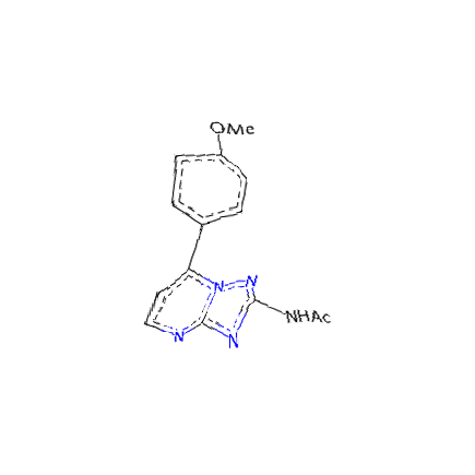 COc1ccc(-c2ccnc3nc(NC(C)=O)nn23)cc1